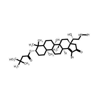 CC(C)NC[C@@H](O)[C@@]12CC[C@]3(C)[C@H](CCC4[C@@]5(C)CC[C@H](OC(=O)CC(C)(C)C(=O)O)C(C)(C)C5CC[C@]43C)C1=C(C(C)C)C(=O)C2